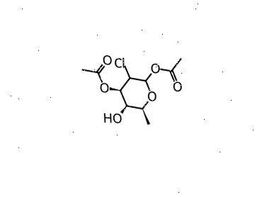 CC(=O)OC1O[C@@H](C)[C@@H](O)[C@@H](OC(C)=O)C1Cl